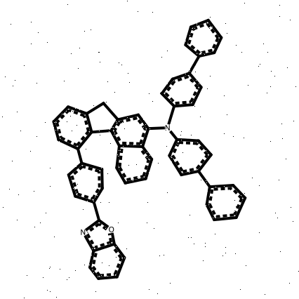 c1ccc(-c2ccc(N(c3ccc(-c4ccccc4)cc3)c3cc4c(c5ccccc35)-c3c(cccc3-c3ccc(-c5nc6ccccc6o5)cc3)C4)cc2)cc1